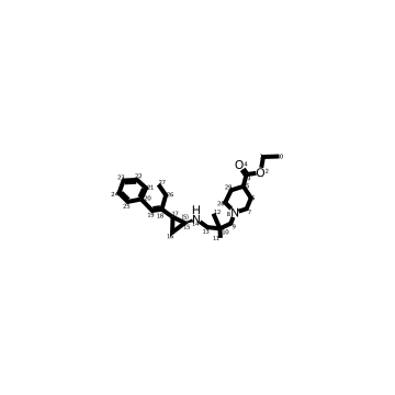 CCOC(=O)C1CCN(CC(C)(C)CN[C@H]2CC2C(=Cc2ccccc2)CC)CC1